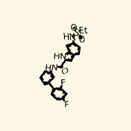 CCS(=O)(=O)Nc1ccc2cc(C(=O)Nc3cccc(-c4ccc(F)cc4F)c3)[nH]c2c1